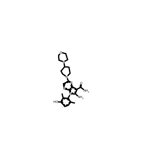 Cc1ccc(O)c(C)c1-n1c(N)c(C(N)=O)c2nc(N3CCC(N4CCOCC4)CC3)cnc21